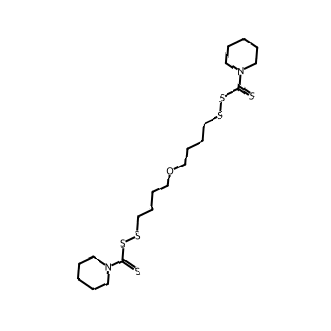 S=C(SSCCCCOCCCCSSC(=S)N1CCCCC1)N1CCCCC1